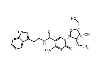 CO[C@@H]1[C@@H](O)[C@@H](CO)O[C@H]1n1cc(C(=O)NCCc2c[nH]c3ccccc23)c(N)nc1=O